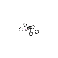 C[C@H](P(C1CC2CCC1C2)C1CC2CCC1C2)[C@@]12[CH]3[CH]4[CH]5[C]1(c1ccccc1P(c1ccccc1)c1ccccc1)[Fe]45321678[CH]2[CH]1[CH]6[CH]7[CH]28